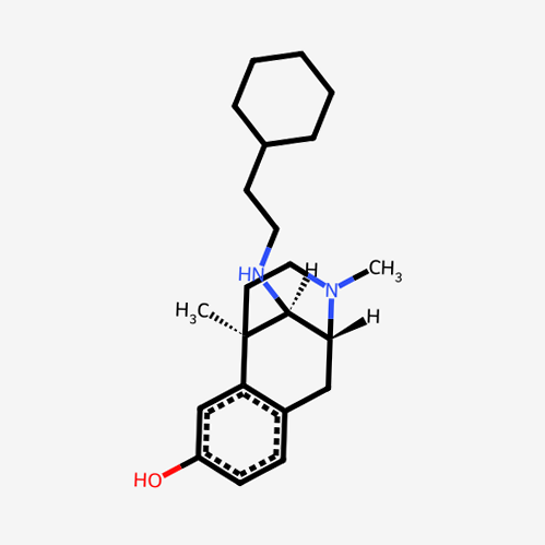 CN1CC[C@]2(C)c3cc(O)ccc3C[C@@H]1[C@@H]2NCCC1CCCCC1